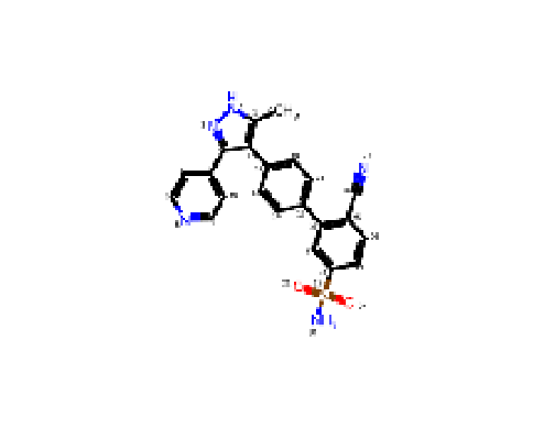 Cc1[nH]nc(-c2ccncc2)c1-c1ccc(-c2cc(S(N)(=O)=O)ccc2C#N)cc1